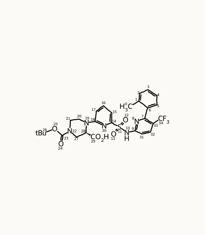 Cc1ccccc1-c1nc(NS(=O)(=O)c2cccc(N3CCN(C(=O)OC(C)(C)C)C[C@@H]3C(=O)O)n2)ccc1C(F)(F)F